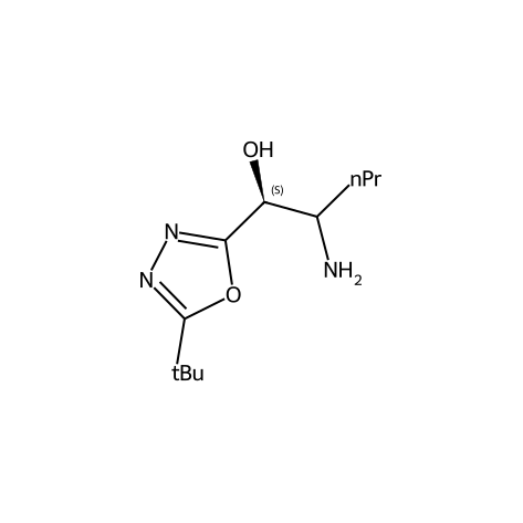 CCCC(N)[C@H](O)c1nnc(C(C)(C)C)o1